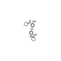 CC(C)(c1ccc(O)c(C(=O)N2CCCCC2)c1)c1ccc(O)c(C(=O)N2CCCCC2)c1